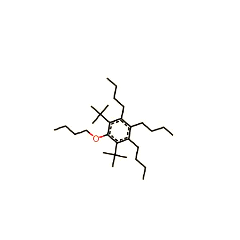 CCCCOc1c(C(C)(C)C)c(CCCC)c(CCCC)c(CCCC)c1C(C)(C)C